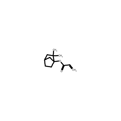 C=CC(=O)OC12CCC(CC1(C)C)C2